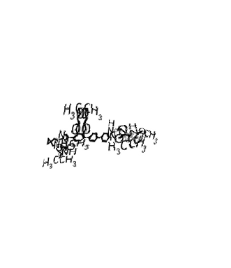 COCCOc1c(-c2ccc(-c3ccc4nc([C@@H]5CCCN5C(=O)[C@@H](NC(=O)OC)C(C)C)[nH]c4c3)cc2)ccc(-c2cnc([C@@H]3CC4(CC4)CN3OC[C@@H](NC(=O)OC)C(C)C)[nH]2)c1OCCOC